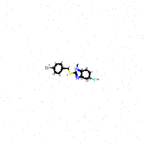 Cn1c(SCc2ccc(Br)cc2)nc2cc(F)ccc21